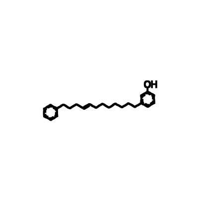 Oc1cccc(CCCCCCCC=CCCCc2ccccc2)c1